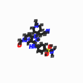 Cc1c(Nc2ccc(S(=O)(=O)N(C)C)cc2)nn(C2(CC#N)CCN(C)CC2)c1/C=C\NC=O